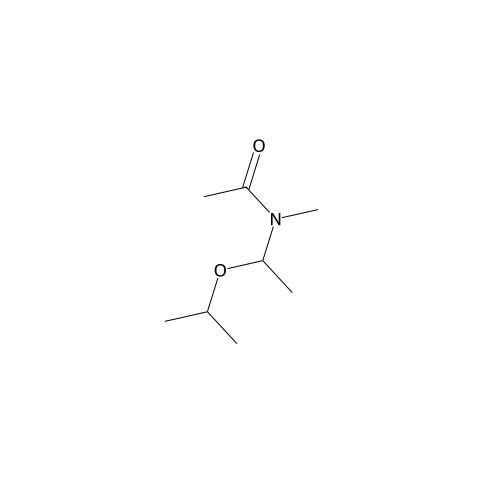 CC(=O)N(C)C(C)OC(C)C